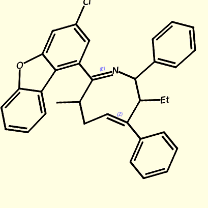 CCC1/C(c2ccccc2)=C/CC(C)/C(c2cc(Cl)cc3oc4ccccc4c23)=N\C1c1ccccc1